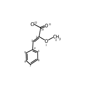 COC(=Cc1ccccc1)C(=O)Cl